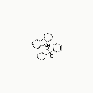 O=S(=O)(c1ccccc1)c1ccccc1.c1ccc2c(c1)[nH]c1ccccc12